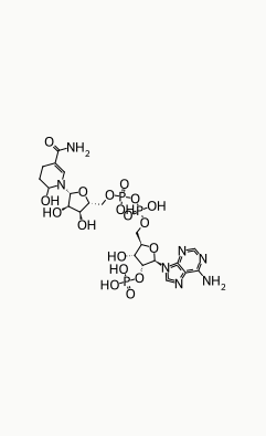 NC(=O)C1=CN([C@@H]2O[C@H](COP(=O)(O)OP(=O)(O)OC[C@H]3O[C@@H](n4cnc5c(N)ncnc54)[C@H](OP(=O)(O)O)[C@@H]3O)[C@@H](O)[C@H]2O)C(O)CC1